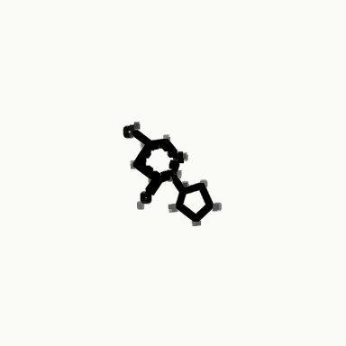 O=c1cc(Cl)cnn1C1CCCC1